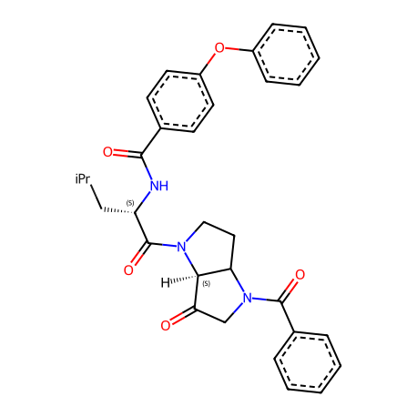 CC(C)C[C@H](NC(=O)c1ccc(Oc2ccccc2)cc1)C(=O)N1CCC2[C@H]1C(=O)CN2C(=O)c1ccccc1